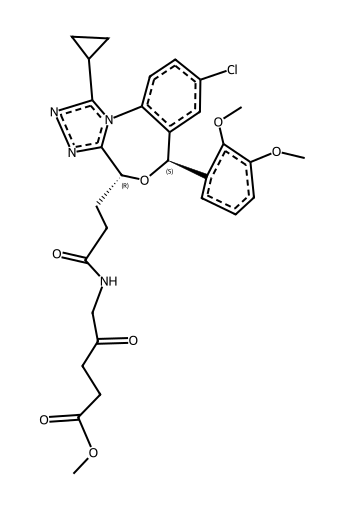 COC(=O)CCC(=O)CNC(=O)CC[C@H]1O[C@H](c2cccc(OC)c2OC)c2cc(Cl)ccc2-n2c(C3CC3)nnc21